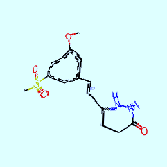 COc1cc(/C=C/C2CCC(=O)NN2)cc(S(C)(=O)=O)c1